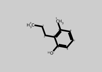 CCCc1c(C)cccc1[O]